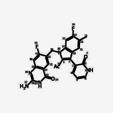 CC(=O)c1c(-c2ccc[nH]c2=O)c2cc(C)c(F)cc2n1Cc1cc2c(=O)[nH]c(N)nc2cc1F